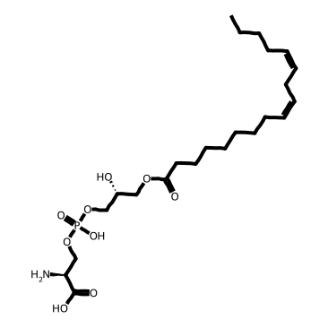 CCCC/C=C\C/C=C\CCCCCCCC(=O)OC[C@@H](O)COP(=O)(O)OC[C@H](N)C(=O)O